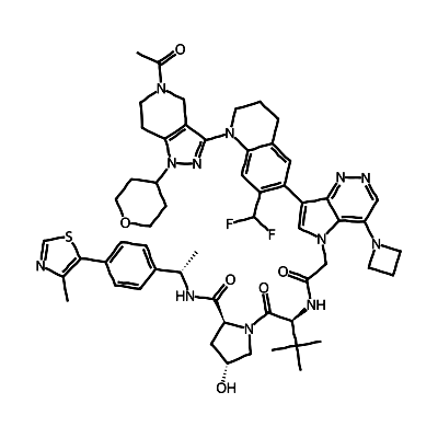 CC(=O)N1CCc2c(c(N3CCCc4cc(-c5cn(CC(=O)N[C@H](C(=O)N6C[C@H](O)C[C@H]6C(=O)N[C@@H](C)c6ccc(-c7scnc7C)cc6)C(C)(C)C)c6c(N7CCC7)cnnc56)c(C(F)F)cc43)nn2C2CCOCC2)C1